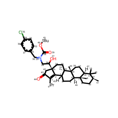 CC(C)C1=C2[C@H]3CC[C@@H]4[C@@]5(C)CC[C@H](C)C(C)(C)[C@@H]5CC[C@@]4(C)[C@]3(C)CC[C@@]2(C(O)CN(Cc2ccc(Cl)cc2)C(=O)OC(C)(C)C)CC1=O